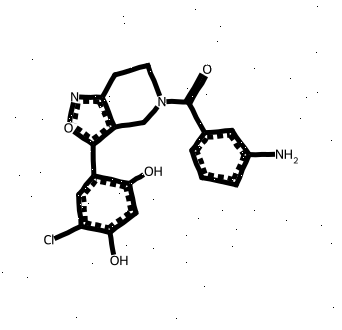 Nc1cccc(C(=O)N2CCc3noc(-c4cc(Cl)c(O)cc4O)c3C2)c1